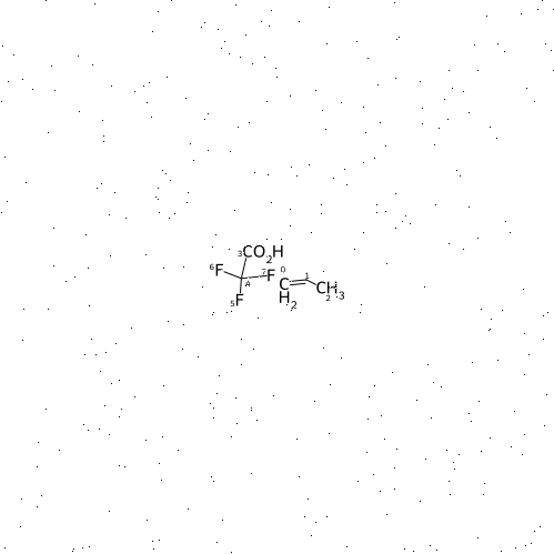 C=CC.O=C(O)C(F)(F)F